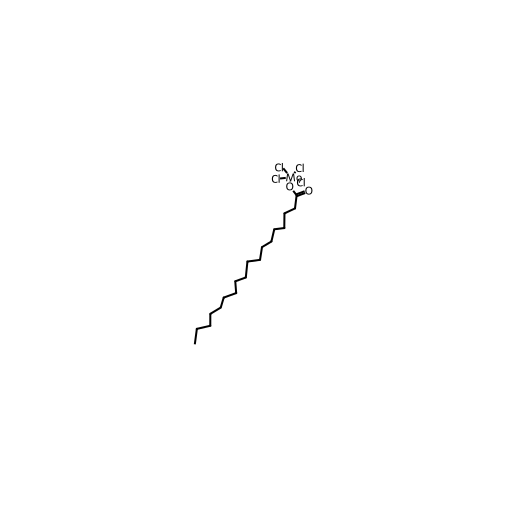 CCCCCCCCCCCCCCCCCC(=O)[O][Mo]([Cl])([Cl])([Cl])[Cl]